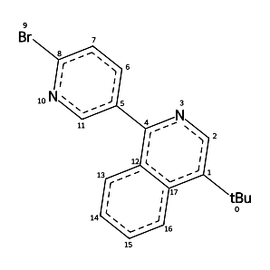 CC(C)(C)c1cnc(-c2ccc(Br)nc2)c2ccccc12